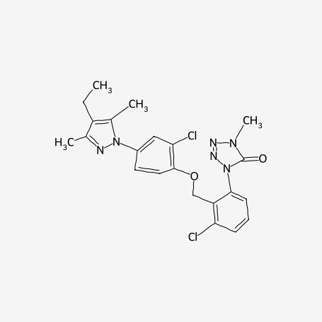 CCc1c(C)nn(-c2ccc(OCc3c(Cl)cccc3-n3nnn(C)c3=O)c(Cl)c2)c1C